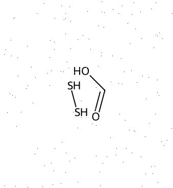 O=CO.SS